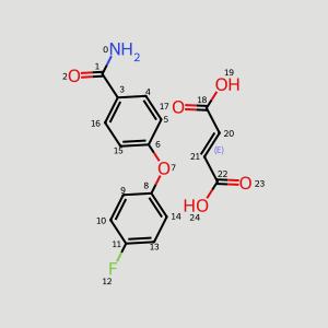 NC(=O)c1ccc(Oc2ccc(F)cc2)cc1.O=C(O)/C=C/C(=O)O